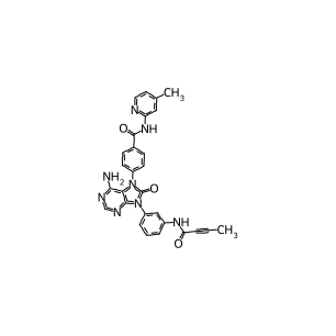 CC#CC(=O)Nc1cccc(-n2c(=O)n(-c3ccc(C(=O)Nc4cc(C)ccn4)cc3)c3c(N)ncnc32)c1